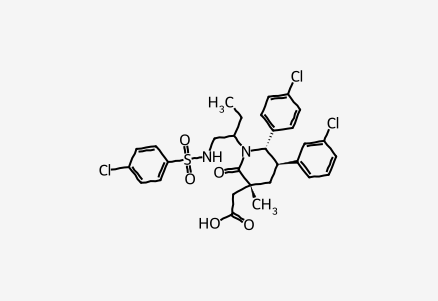 CCC(CNS(=O)(=O)c1ccc(Cl)cc1)N1C(=O)[C@@](C)(CC(=O)O)C[C@H](c2cccc(Cl)c2)[C@H]1c1ccc(Cl)cc1